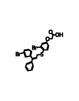 O=C(O)COc1ccc(SCC=C(c2ccccc2)c2cccc(Br)c2)c(Br)c1